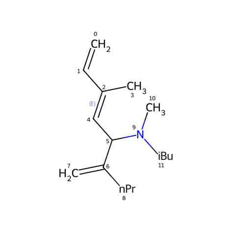 C=C/C(C)=C/C(C(=C)CCC)N(C)C(C)CC